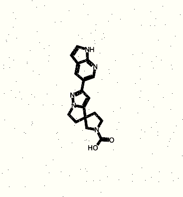 O=C(O)N1CCC2(CCn3nc(-c4cnc5[nH]ccc5c4)cc32)C1